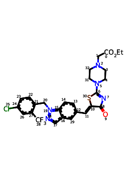 CCOC(=O)CN1CCN(C2=NC(=O)/C(=C/c3ccc4c(cnn4Cc4ccc(Cl)cc4C(F)(F)F)c3)S2)CC1